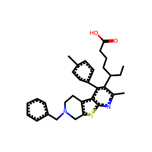 CCC(CCCC(=O)O)c1c(C)nc2sc3c(c2c1-c1ccc(C)cc1)CCN(Cc1ccccc1)C3